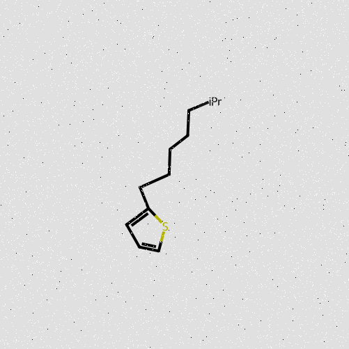 CC(C)CCCCCc1cccs1